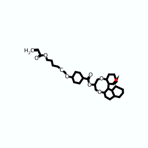 C=CC(=O)OCCCCCCOC1CCC(C(=O)OC2COC3CCC4CCCCC4C3C3C(CCC4CCCCC43)OC2)CC1